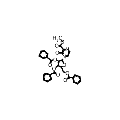 COC(=O)c1nccn([C@@H]2OC(COC(=O)c3ccccc3)C(OC(=O)c3ccccc3)[C@@H]2OC(=O)c2ccccc2)c1=O